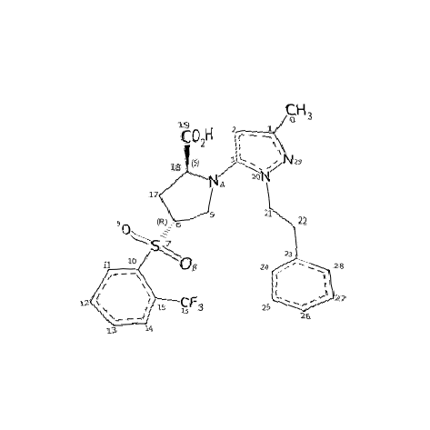 Cc1cc(N2C[C@H](S(=O)(=O)c3ccccc3C(F)(F)F)C[C@H]2C(=O)O)n(CCc2ccccc2)n1